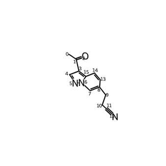 CC(=O)c1cnn2cc(CCC#N)ccc12